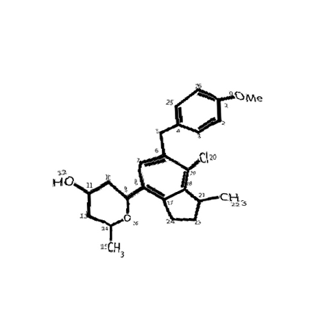 COc1ccc(Cc2cc(C3CC(O)CC(C)O3)c3c(c2Cl)C(C)CC3)cc1